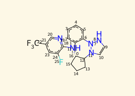 [CH]c1ccccc1N1NC=CN1C1CCC[C@@H]1Nc1ncc(C(F)(F)F)cc1F